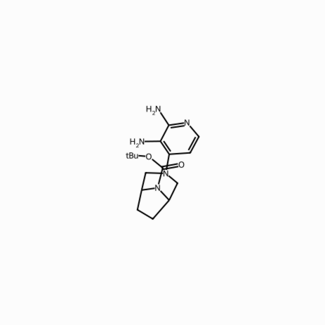 CC(C)(C)OC(=O)N1C2CCC1CN(c1ccnc(N)c1N)C2